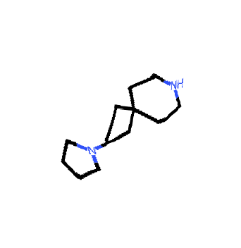 C1CCN(C2CC3(CCNCC3)C2)C1